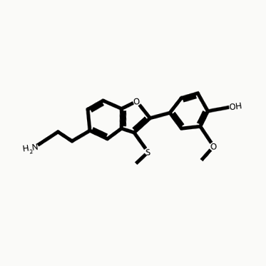 COc1cc(-c2oc3ccc(CCN)cc3c2SC)ccc1O